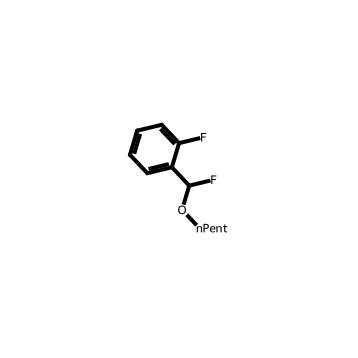 CCCCCOC(F)c1ccccc1F